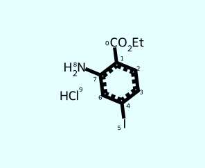 CCOC(=O)c1ccc(I)cc1N.Cl